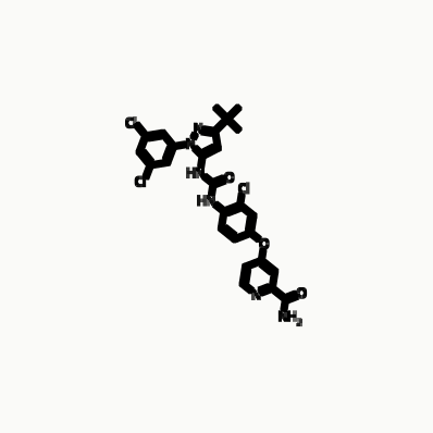 CC(C)(C)c1cc(NC(=O)Nc2ccc(Oc3ccnc(C(N)=O)c3)cc2Cl)n(-c2cc(Cl)cc(Cl)c2)n1